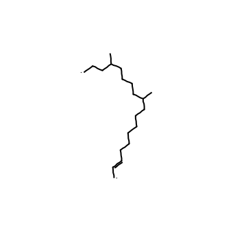 [CH2]C=CCCCCCCC(C)CCCCC(C)CC[CH2]